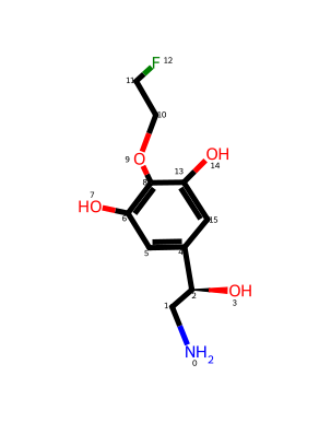 NC[C@H](O)c1cc(O)c(OCCF)c(O)c1